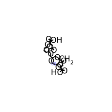 C=C1OCC(COc2cccc3oc(C(=O)O)cc(=O)c23)O/C=C\c2oc(C(=O)O)cc(=O)c21